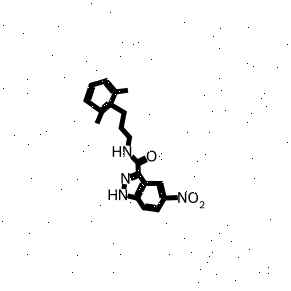 Cc1cccc(C)c1CCCNC(=O)c1n[nH]c2ccc([N+](=O)[O-])cc12